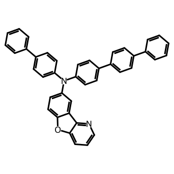 c1ccc(-c2ccc(-c3ccc(N(c4ccc(-c5ccccc5)cc4)c4ccc5oc6cccnc6c5c4)cc3)cc2)cc1